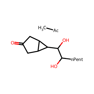 CC(C)=O.CCCCCC(O)C(O)C1C2CC(=O)CC21